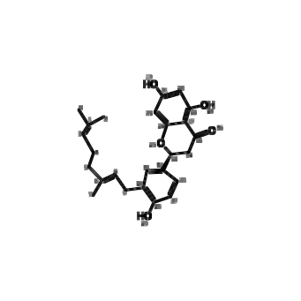 CC(C)=CCC/C(C)=C/Cc1cc([C@@H]2CC(=O)c3c(O)cc(O)cc3O2)ccc1O